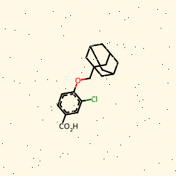 O=C(O)c1ccc(OCC23CC4CC(CC(C4)C2)C3)c(Cl)c1